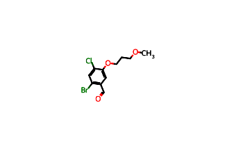 COCCCOc1cc(C=O)c(Br)cc1Cl